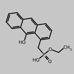 CCOP(=O)(O)Cc1cccc2cc3ccccc3c(O)c12